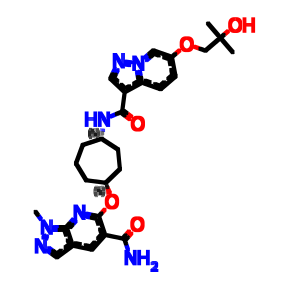 Cn1ncc2cc(C(N)=O)c(O[C@H]3CCC[C@H](NC(=O)c4cnn5cc(OCC(C)(C)O)ccc45)CC3)nc21